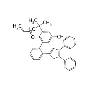 C=CCOc1c(-c2ccccc2C2=CC(c3ccccc3)=C(c3ccccc3)C2)cc(C)cc1C(C)(C)C